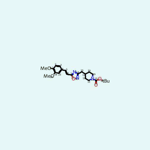 COc1ccc(C=Cc2nc(CC3CCN(C(=O)OC(C)(C)C)CC3)no2)cc1OC